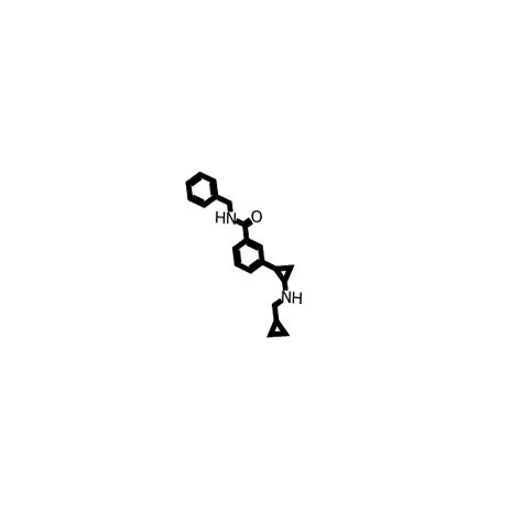 O=C(NCc1ccccc1)c1cccc(C2CC2NCC2CC2)c1